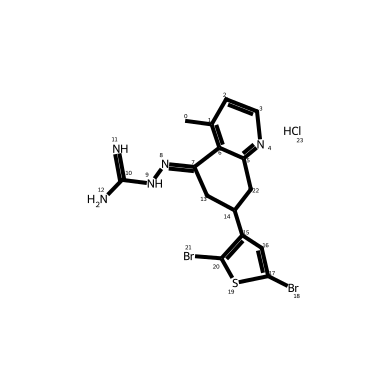 Cc1ccnc2c1C(=NNC(=N)N)CC(c1cc(Br)sc1Br)C2.Cl